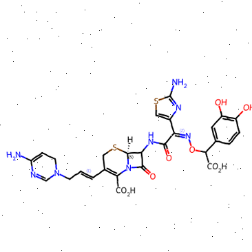 NC1=CCN(C/C=C/C2=C(C(=O)O)N3C(=O)C(NC(=O)/C(=N\OC(C(=O)O)c4ccc(O)c(O)c4)c4csc(N)n4)[C@@H]3SC2)C=N1